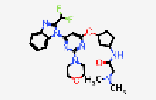 CN(C)CC(=O)N[C@@H]1CC[C@H](Oc2cc(-n3c(C(F)F)nc4ccccc43)nc(N3CCOCC3)n2)C1